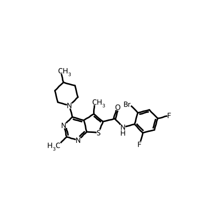 Cc1nc(N2CCC(C)CC2)c2c(C)c(C(=O)Nc3c(F)cc(F)cc3Br)sc2n1